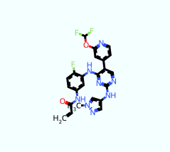 C=CC(=O)Nc1ccc(F)c(Nc2nc(Nc3cnn(C)c3)ncc2-c2ccnc(OC(F)F)c2)c1